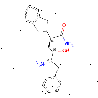 NC(=O)[C@@H](C[C@H](O)[C@@H](N)Cc1ccccc1)C1Cc2ccccc2C1